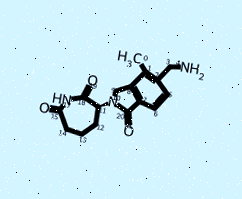 Cc1c(CN)ccc2c1CN([C@H]1CCCC(=O)NC1=O)C2=O